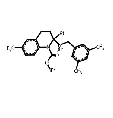 CCC1(N(Cc2cc(C(F)(F)F)cc(C(F)(F)F)c2)C(C)=O)CCc2cc(C(F)(F)F)ccc2N1C(=O)OC(C)C